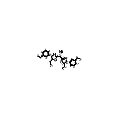 CCc1cccc([C@H]2N=C(CC3=N[C@H](c4cccc(CC)c4)C(CC)O3)OC2CC)c1.[Ni]